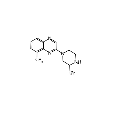 CC(C)C1CN(c2cnc3cccc(C(F)(F)F)c3n2)CCN1